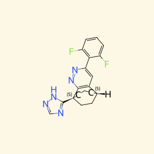 Fc1cccc(F)c1-c1cc2c(nn1)[C@]1(c3ncn[nH]3)CCC[C@H]2CC1